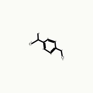 CC(Cl)c1ccc(CCl)cc1